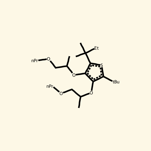 CCCOCC(C)Oc1c(C(C)(C)C)sc(C(C)(C)CC)c1OC(C)COCCC